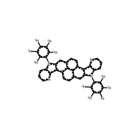 [2H]c1c([2H])c([2H])c(-n2c3cccnc3c3c4ccc5cc6c(c7ccc(cc32)c4c57)c2ncccc2n6-c2c([2H])c([2H])c([2H])c([2H])c2[2H])c([2H])c1[2H]